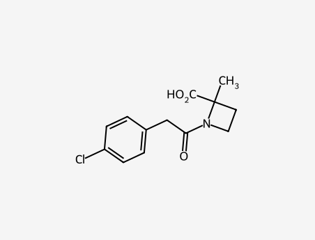 CC1(C(=O)O)CCN1C(=O)Cc1ccc(Cl)cc1